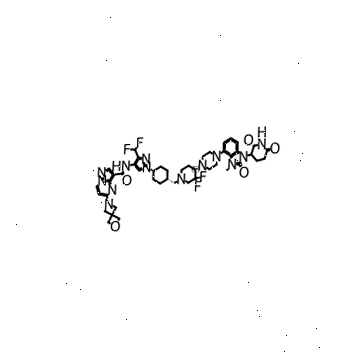 Cn1c(=O)n(C2CCC(=O)NC2=O)c2cccc(N3CCN([C@H]4CCN(C[C@H]5CC[C@H](n6cc(NC(=O)c7cnn8ccc(N9CC%10(COC%10)C9)nc78)c(C(F)F)n6)CC5)CC4(F)F)CC3)c21